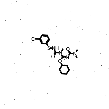 CN(C)C(=O)N=C(OC1CCCCC1)N(C)C(=O)NSc1cccc(Cl)c1